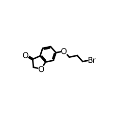 O=C1COc2cc(OCCCBr)ccc21